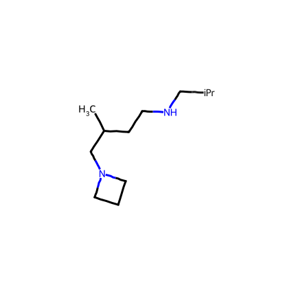 CC(C)CNCCC(C)CN1CCC1